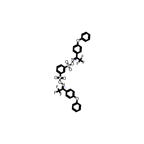 O=S(=O)(O/N=C(/c1ccc(Oc2ccccc2)cc1)C(F)(F)F)c1cccc(S(=O)(=O)O/N=C(/c2ccc(Oc3ccccc3)cc2)C(F)(F)F)c1